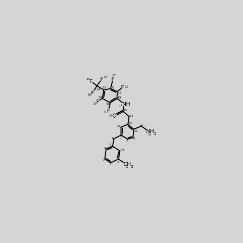 Cc1cccc(Cc2ccc(CN)c(CC(=O)Nc3c(F)c(F)c(C(F)(F)F)c(F)c3F)c2)c1